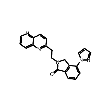 O=C1c2cccc(-n3cccn3)c2CN1CCc1ccc2ncccc2n1